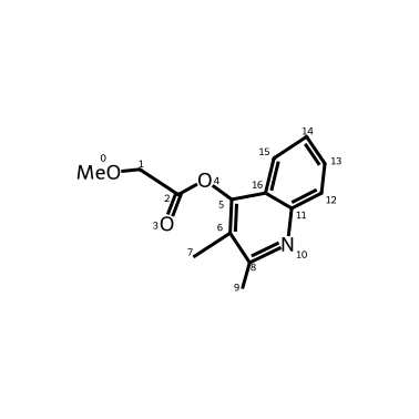 COCC(=O)Oc1c(C)c(C)nc2ccccc12